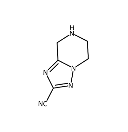 N#Cc1nc2n(n1)CCNC2